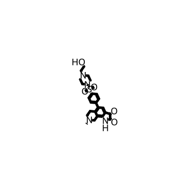 CN1CCc2c(-c3ccc(S(=O)(=O)N4CCN(CCO)CC4)cc3)cc3c(c2C1)NC(=O)C3=O